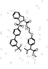 COC(=O)C(c1ccc(OCCNC(=O)[C@@H]2Cc3ccccc3N2S(=O)(=O)c2ccc(-c3cccc(C(F)(F)F)c3)cc2)cc1)C(C)C